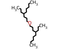 CCCCCC(CCC)CCCOCCCC(CCC)CCCCC